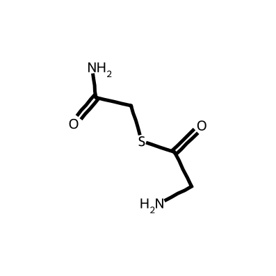 NCC(=O)SCC(N)=O